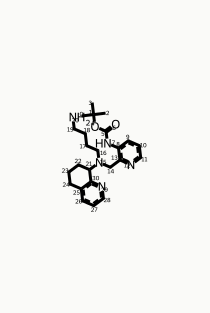 CC(C)(C)OC(=O)Nc1cccnc1CN(CCCCN)C1CCCc2cccnc21